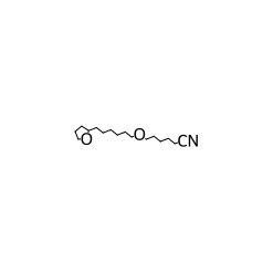 N#CCCCCCOCCCCCCC1CCCO1